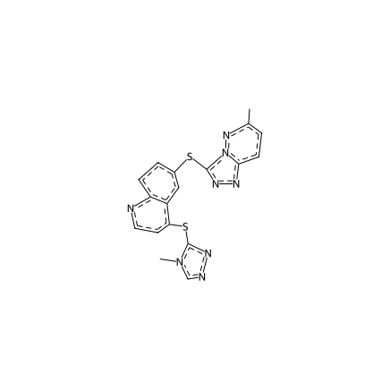 Cc1ccc2nnc(Sc3ccc4nccc(Sc5nncn5C)c4c3)n2n1